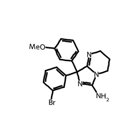 COc1cccc(C2(c3cccc(Br)c3)N=C(N)N3CCCN=C32)c1